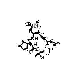 C=N/C(Cl)=N\C(NCC1(NC(=O)OC(C)(C)C)CCCC1)=C(/C)C#CC(OCC)OCC